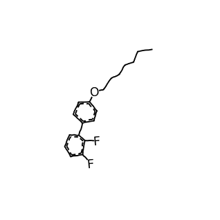 CCCCCCCOc1ccc(-c2cccc(F)c2F)cc1